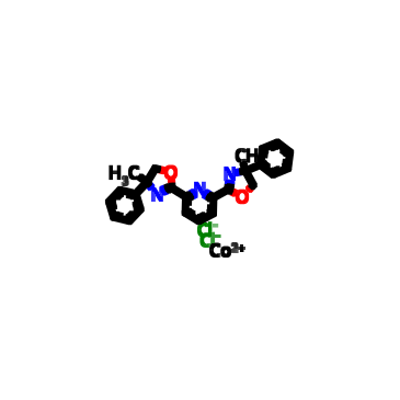 CC1(c2ccccc2)COC(c2cccc(C3=NC(C)(c4ccccc4)CO3)n2)=N1.[Cl-].[Cl-].[Co+2]